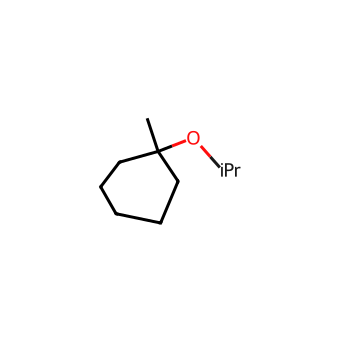 CC(C)OC1(C)CCCCC1